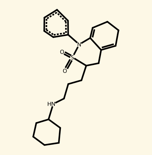 O=S1(=O)C(CCCNC2CCCCC2)CC2=CCCC=C2N1c1ccccc1